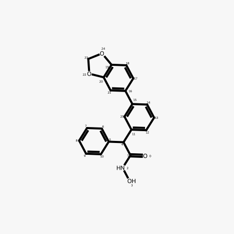 O=C(NO)C(c1ccccc1)c1cccc(-c2ccc3c(c2)OCO3)c1